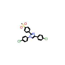 CS(=O)(=O)c1ccc(-c2nc(-c3ccc(Cl)cc3)cn2-c2ccc(Cl)cc2)cc1